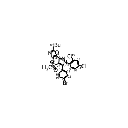 CC(C)(C)c1nnc(-c2nn(-c3ccc(Cl)cc3Cl)c(-c3ccc(Br)cc3)c2S(C)(=O)=O)o1